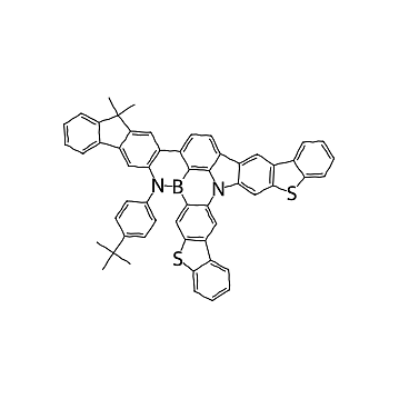 CC(C)(C)c1ccc(N2B3c4cc5sc6ccccc6c5cc4-n4c5cc6sc7ccccc7c6cc5c5ccc(c3c54)-c3cc4c(cc32)-c2ccccc2C4(C)C)cc1